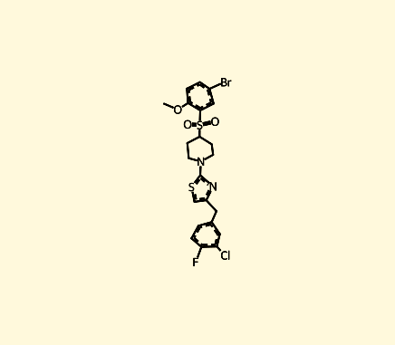 COc1ccc(Br)cc1S(=O)(=O)C1CCN(c2nc(Cc3ccc(F)c(Cl)c3)cs2)CC1